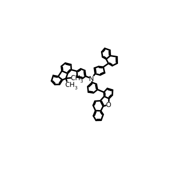 CC1(C)c2ccccc2-c2cccc(-c3ccc(N(c4ccc(-c5cccc6ccccc56)cc4)c4cccc(-c5cccc6oc7c8ccccc8ccc7c56)c4)cc3)c21